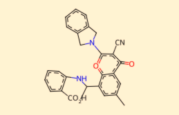 Cc1cc(C(C)Nc2ccccc2C(=O)O)c2oc(N3Cc4ccccc4C3)c(C#N)c(=O)c2c1